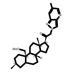 COC[C@]12CC[C@H](C)CC1CC[C@@H]1C2CC[C@@]2(C)C1CC[C@@H]2C(=O)Cn1cc2ncc(C)cc2n1